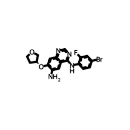 Nc1cc2c(Nc3ccc(Br)cc3F)ncnc2cc1O[C@@H]1CCOC1